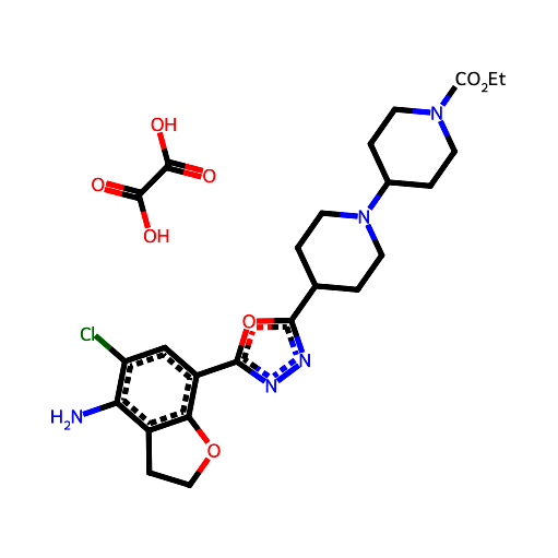 CCOC(=O)N1CCC(N2CCC(c3nnc(-c4cc(Cl)c(N)c5c4OCC5)o3)CC2)CC1.O=C(O)C(=O)O